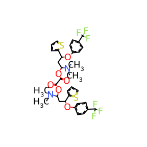 CN(C)C(CC(Oc1ccc(C(F)(F)F)cc1)c1cccs1)OC(=O)C(=O)OC(CC(Oc1ccc(C(F)(F)F)cc1)c1cccs1)N(C)C